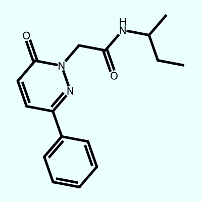 CCC(C)NC(=O)Cn1nc(-c2ccccc2)ccc1=O